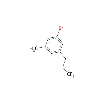 Cc1cc(Br)cc([CH]CC(F)(F)F)c1